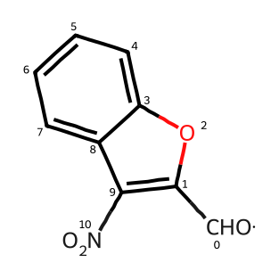 O=[C]c1oc2ccccc2c1[N+](=O)[O-]